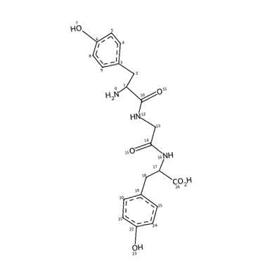 NC(Cc1ccc(O)cc1)C(=O)NCC(=O)NC(Cc1ccc(O)cc1)C(=O)O